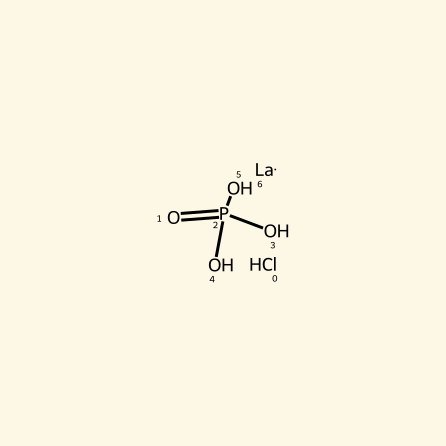 Cl.O=P(O)(O)O.[La]